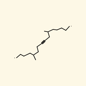 [CH2]CCCCC(C)CC#CCCC(C)CCC[CH2]